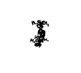 Cc1c(-c2cccc(F)c2)nn(C)c1Nc1nccc2c1ncn2CC(=O)N(C)C